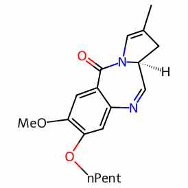 CCCCCOc1cc2c(cc1OC)C(=O)N1C=C(C)C[C@H]1C=N2